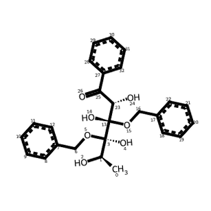 C[C@@H](O)[C@@](O)(OCc1ccccc1)[C@@](O)(OCc1ccccc1)[C@@H](O)C(=O)c1ccccc1